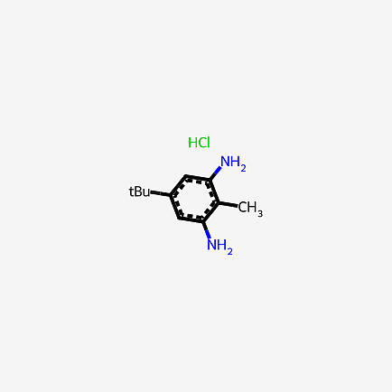 Cc1c(N)cc(C(C)(C)C)cc1N.Cl